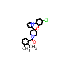 Cc1cccc(C(=O)N2CCC3(CC2)Oc2cc(Cl)ccc2-n2cccc23)c1C